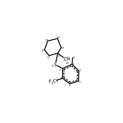 Cc1cccc(C(F)(F)F)c1SC1(C#N)CCCCC1